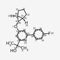 CC(C)(O)c1cc(O[C@H]2[C@@H]3CCC[C@@H]32)cc(-c2ccc(F)cc2)n1